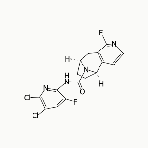 O=C(Nc1nc(Cl)c(Cl)cc1F)N1[C@H]2CC[C@@H]1c1ccnc(F)c1C2